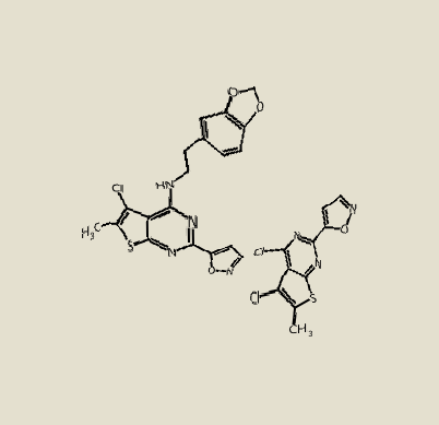 Cc1sc2nc(-c3ccno3)nc(Cl)c2c1Cl.Cc1sc2nc(-c3ccno3)nc(NCCc3ccc4c(c3)OCO4)c2c1Cl